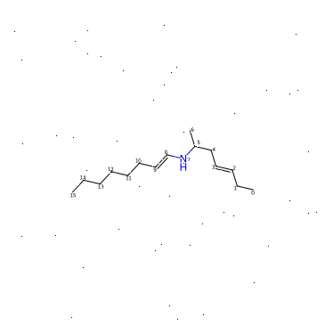 CCC=CCC(C)NC=CCCCCCC